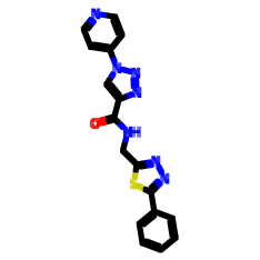 O=C(NCc1nnc(-c2ccccc2)s1)c1cn(-c2ccncc2)nn1